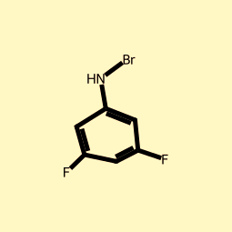 Fc1cc(F)cc(NBr)c1